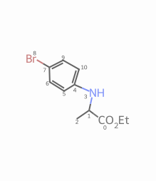 CCOC(=O)C(C)Nc1ccc(Br)cc1